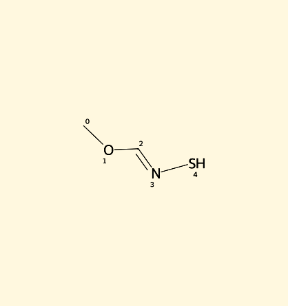 CO/C=N/S